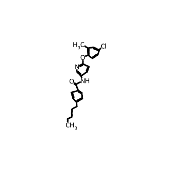 CCCCCc1ccc(C(=O)Nc2ccc(Oc3ccc(Cl)cc3C)nc2)cc1